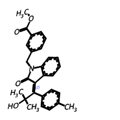 COC(=O)c1cccc(CN2C(=O)/C(=C(/c3ccc(C)cc3)C(C)(C)O)c3ccccc32)c1